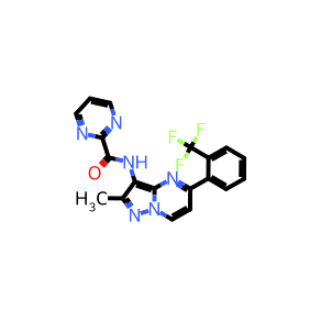 Cc1nn2ccc(-c3ccccc3C(F)(F)F)nc2c1NC(=O)c1ncccn1